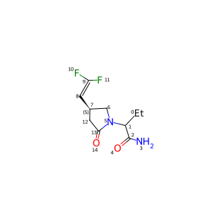 CCC(C(N)=O)N1C[C@H](C=C(F)F)CC1=O